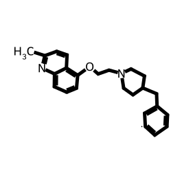 Cc1ccc2c(OCCN3CCC(Cc4c[c]ccc4)CC3)cccc2n1